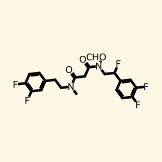 CN(CCc1ccc(F)c(F)c1)C(=O)CC(=O)N(C=O)CC(F)c1ccc(F)c(F)c1